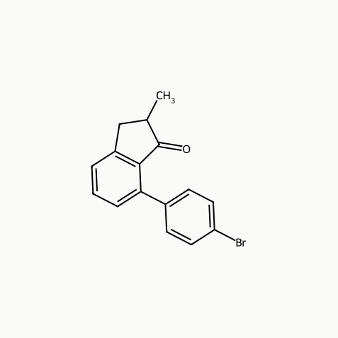 CC1Cc2cccc(-c3ccc(Br)cc3)c2C1=O